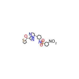 CN(c1cccc(-c2ccnc3c(C(=O)c4cccs4)cnn23)c1)S(=O)(=O)c1cccc([N+](=O)[O-])c1